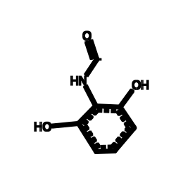 O=[C]Nc1c(O)cccc1O